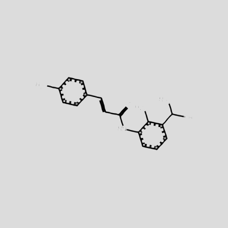 Cc1ccc(/C=C/C(=O)Nc2cccc(C(C)C)c2C)cc1